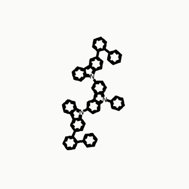 c1ccc(-c2ccccc2-c2ccc3c(c2)c2ccccc2n3-c2ccc3c(c2)c2cc(-n4c5ccccc5c5cc(-c6ccccc6-c6ccccc6)ccc54)ccc2n3-c2ccccc2)cc1